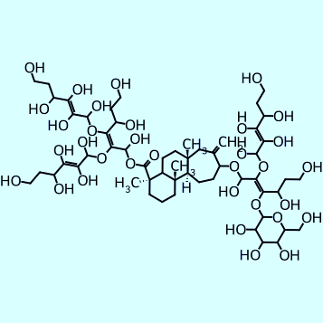 C=C1C[C@@]2(C)CCC3[C@](C)(C(=O)OC(O)/C(OC(O)/C(O)=C(\O)C(O)CCO)=C(/OC(O)/C(O)=C(\O)C(O)CCO)C(O)CCO)CCC[C@@]3(C)[C@@H]2CCC1OC(O)/C(OC(O)/C(O)=C(\O)C(O)CCO)=C(\OC1OC(CO)C(O)C(O)C1O)C(O)CCO